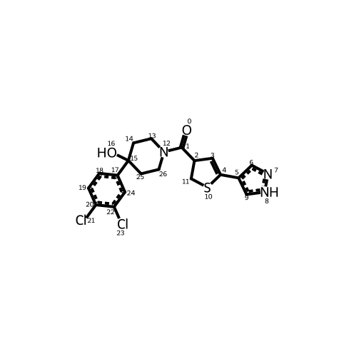 O=C(C1C=C(c2cn[nH]c2)SC1)N1CCC(O)(c2ccc(Cl)c(Cl)c2)CC1